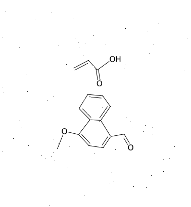 C=CC(=O)O.COc1ccc(C=O)c2ccccc12